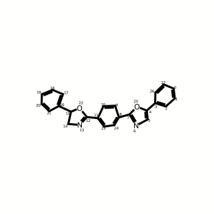 c1ccc(-c2cnc(-c3ccc(C4=NCC(c5ccccc5)O4)cc3)o2)cc1